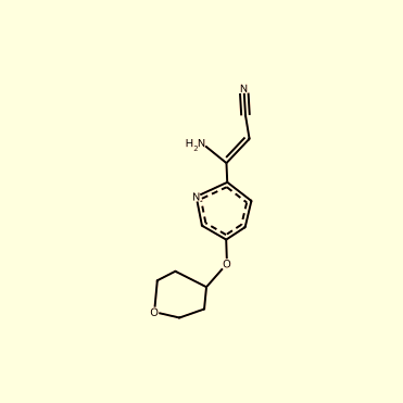 N#C/C=C(\N)c1ccc(OC2CCOCC2)cn1